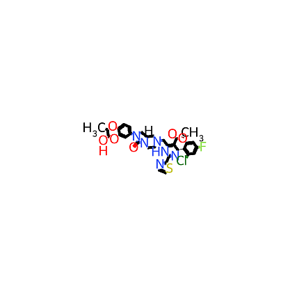 COC(=O)C1=C(CN2CCN3C(=O)N(c4ccc(OC(C)C(=O)O)cc4)C[C@@H]3C2)NC(c2nccs2)=N[C@H]1c1ccc(F)cc1Cl